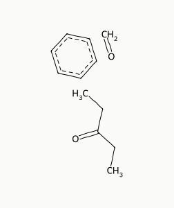 C=O.CCC(=O)CC.c1ccccc1